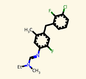 CCN(C)C=Nc1cc(C)c(Cc2cccc(Cl)c2F)cc1F